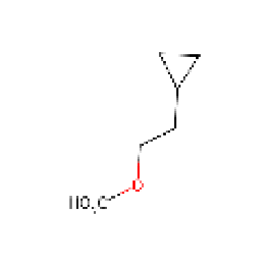 O=C(O)OCCC1CC1